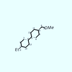 CC[C@H]1CC[C@H]([C@H]2CC[C@H](COC)CC2)CC1